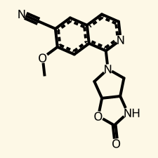 COc1cc2c(N3CC4NC(=O)OC4C3)nccc2cc1C#N